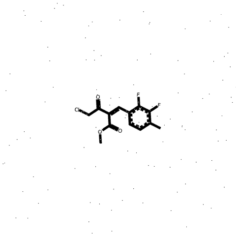 COC(=O)/C(=C\c1ccc(C)c(F)c1F)C(=O)CCl